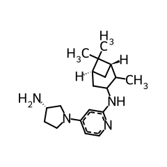 CC1C(Nc2cc(N3CC[C@H](N)C3)ccn2)C[C@@H]2C[C@@H]1C2(C)C